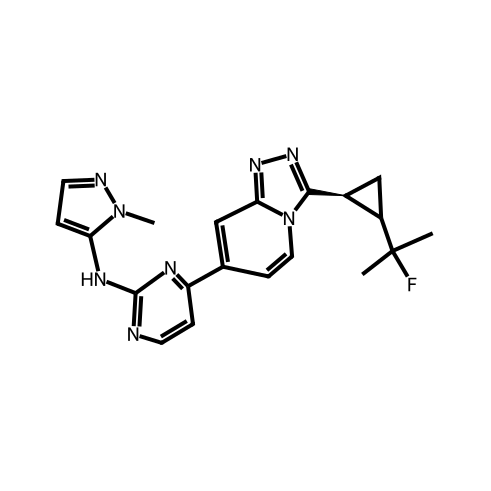 Cn1nccc1Nc1nccc(-c2ccn3c([C@H]4CC4C(C)(C)F)nnc3c2)n1